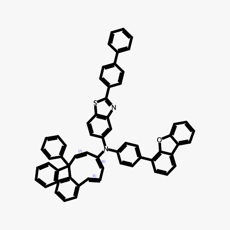 C1=C/C(c2ccccc2)(c2ccccc2)c2ccccc2/C=C/C=C\1N(c1ccc(-c2cccc3c2oc2ccccc23)cc1)c1ccc2sc(-c3ccc(-c4ccccc4)cc3)nc2c1